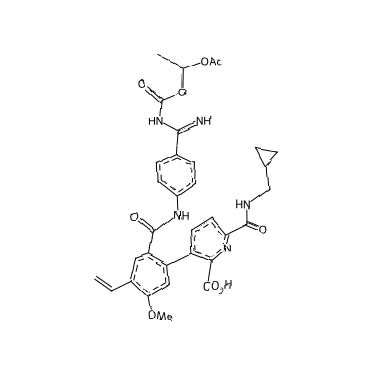 C=Cc1cc(C(=O)Nc2ccc(C(=N)NC(=O)OC(C)OC(C)=O)cc2)c(-c2ccc(C(=O)NCC3CC3)nc2C(=O)O)cc1OC